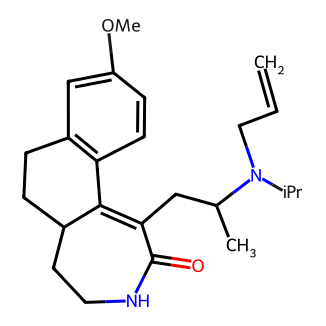 C=CCN(C(C)C)C(C)CC1=C2c3ccc(OC)cc3CCC2CCNC1=O